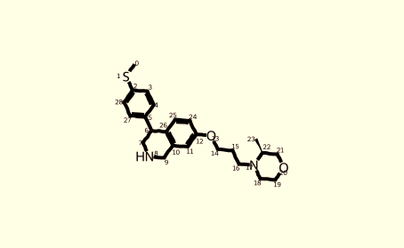 CSc1ccc(C2CNCc3cc(OCCCN4CCOC[C@@H]4C)ccc32)cc1